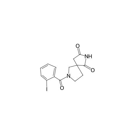 O=C1CC2(CCN(C(=O)c3ccccc3I)C2)C(=O)N1